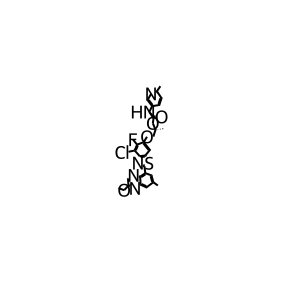 COc1cnc2c(-c3nc4c(Cl)c(F)c(OC[C@@H](C)OC(=O)Nc5ccc(C)nc5)cc4s3)cc(C)cc2n1